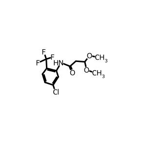 COC(CC(=O)Nc1cc(Cl)ccc1C(F)(F)F)OC